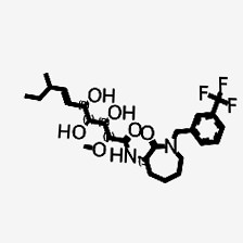 CCC(C)C=C[C@@H](O)[C@H](O)[C@@H](O)[C@@H](OC)C(=O)N[C@H]1CCCCN(Cc2cccc(C(F)(F)F)c2)C1=O